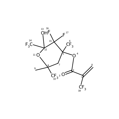 C=C(C(=O)OC1(C(F)(F)F)CC(C)(C(F)(F)F)OC(O)(C(F)(F)F)C1(F)F)C(F)(F)F